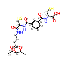 CC1O[Si]2(CCCNC(=O)C(CS)NC(=O)c3cccc(C(=O)NC(CS)C(=O)O)c3)OC(C)C1O2